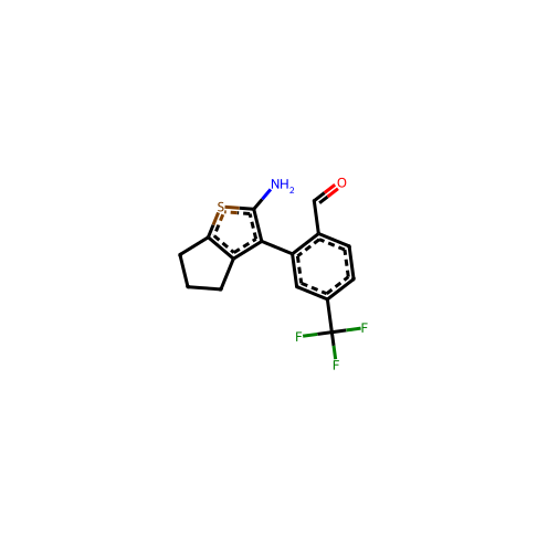 Nc1sc2c(c1-c1cc(C(F)(F)F)ccc1C=O)CCC2